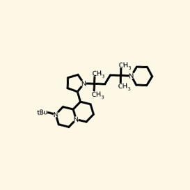 CC(C)(C)N1CCN2CCCC(C3CCCN3C(C)(C)CCC(C)(C)N3CCCCC3)C2C1